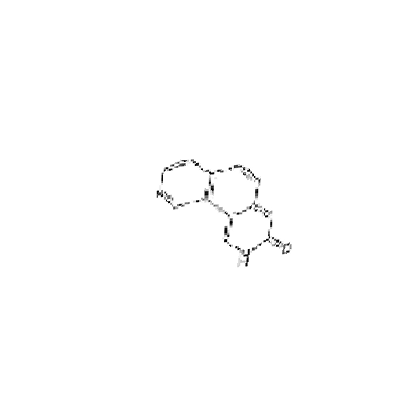 O=c1cc2ccc3ccncc3c2c[nH]1